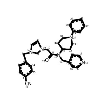 N#Cc1ccc(CN2C=CN(CC(=O)N(Cc3ccncc3)C3CCN(c4ccccc4)CC3)C2)cc1